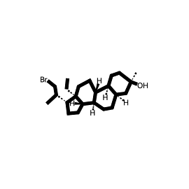 CC[C@]12CC[C@H]3[C@@H](CC[C@@H]4C[C@](C)(O)CC[C@@H]43)[C@@H]1CC[C@@H]2C(C)CBr